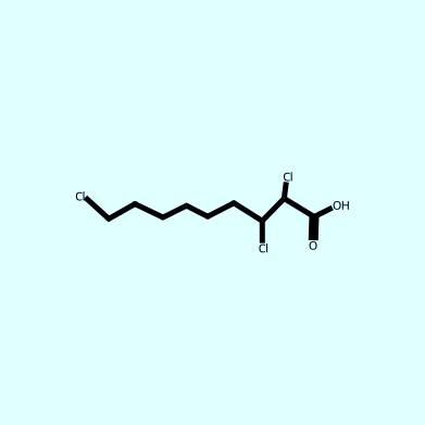 O=C(O)C(Cl)C(Cl)CCCCCCCl